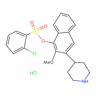 COc1c(C2CCNCC2)cc2ccccc2c1OS(=O)(=O)c1ccccc1Cl.Cl